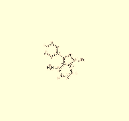 CC(C)n1nc(-c2ccccc2)c2c(N)ncnc21